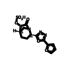 O=C1N2C[C@@H](CC[C@H]2c2nnc(-c3ccco3)o2)N1OS(=O)(=O)O